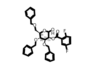 O=C(O[C@@H]1C(O)O[C@H](COCc2ccccc2)[C@@H](OCc2ccccc2)[C@@H]1OCc1ccccc1)c1cc(F)ccc1F